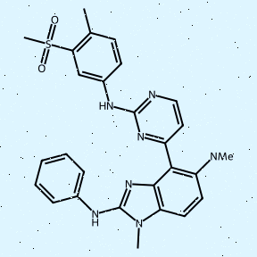 CNc1ccc2c(nc(Nc3ccccc3)n2C)c1-c1ccnc(Nc2ccc(C)c(S(C)(=O)=O)c2)n1